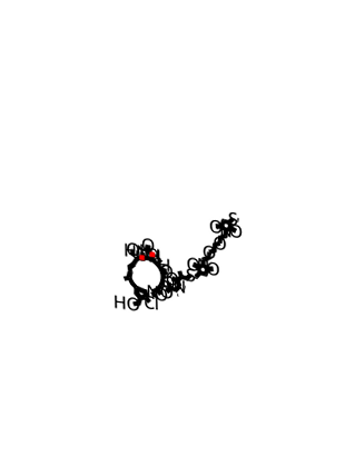 CSC1CC(=O)N(CCOCCOCCN2C(=O)CC(CSCC(C)C(=O)N(C)[C@H](C)C(=O)O[C@H]3CC(=O)N(C)c4cc(cc(CO)c4Cl)C/C(C)=C/C=C/[C@@H](CO)[C@@]4(O)C[C@H](OC(=O)N4)[C@@H](C)[C@@H]4O[C@@]34C)C2=O)C1=O